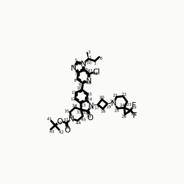 CC[C@H](C)n1cnc2cc(-c3ccc4c(c3)N([C@H]3C[C@@H](N5CCCC6(C5)CC6(F)F)C3)C(=O)C43CCN(C(=O)OC(C)(C)C)CC3)nc(Cl)c21